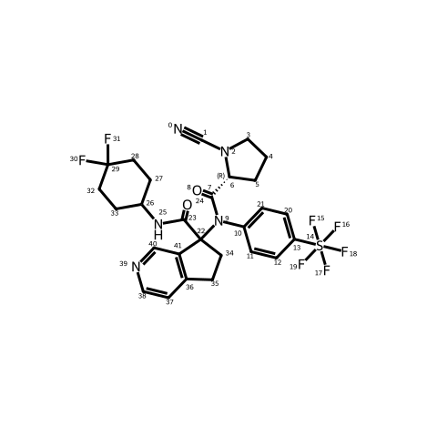 N#CN1CCC[C@@H]1C(=O)N(c1ccc(S(F)(F)(F)(F)F)cc1)C1(C(=O)NC2CCC(F)(F)CC2)CCc2ccncc21